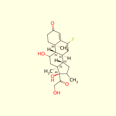 CC1C[C@H]2[C@@H]3C=C(F)C4=CC(=O)CC[C@]4(C)[C@H]3C(O)C[C@]2(C)[C@@]1(O)C(=O)CO